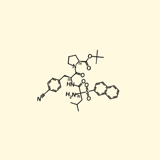 CC(C)C[C@](N)(C(=O)N[C@@H](Cc1ccc(C#N)cc1)C(=O)N1CCC[C@H]1C(=O)OC(C)(C)C)S(=O)(=O)c1ccc2ccccc2c1